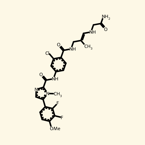 COc1ccc(-c2cnc(C(=O)Nc3ccc(C(=O)NC/C(C)=C/NCC(N)=O)c(Cl)c3)n2C)c(F)c1F